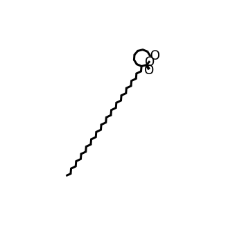 CCCCCCCCCCCCCCCCCCCCCCCCCCCCCCC1CCCCCCC(=O)OC1=O